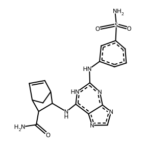 NC(=O)C1C2C=CC(C2)C1Nc1[nH]c(Nc2cccc(S(N)(=O)=O)c2)nc2ncnc1-2